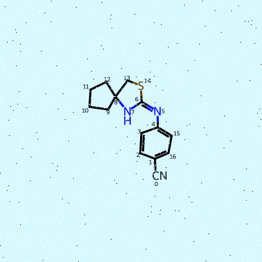 N#Cc1ccc(/N=C2\NC3(CCCC3)CS2)cc1